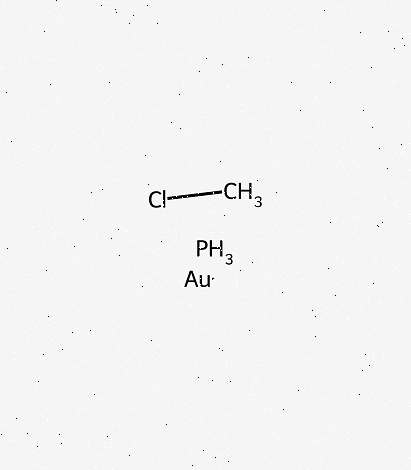 CCl.P.[Au]